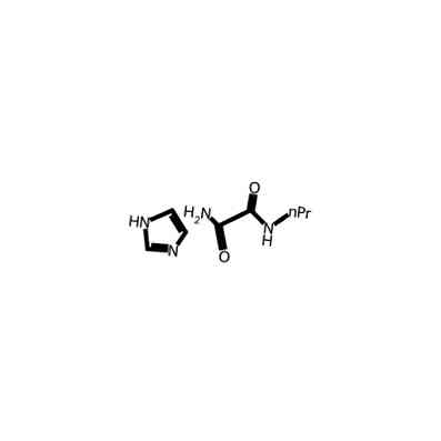 CCCNC(=O)C(N)=O.c1c[nH]cn1